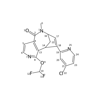 CN1C(=O)c2ccnc(OC(F)F)c2C2CC1C=C2c1cc(Cl)ccn1